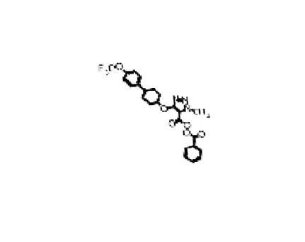 Cn1nnc(OC2CCC(c3ccc(OC(F)(F)F)cc3)CC2)c1C(=O)OOC(=O)c1ccccc1